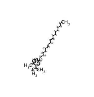 CCCCCCCC/C=C/CCCCCCCCOC(=O)OC(C(C)C)C(C)C